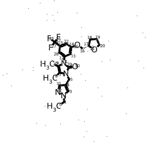 CCn1cc(Cn2c(C)c(C)n(-c3cc(OC[C@@H]4CCCO4)cc(C(F)(F)F)c3)c2=O)cn1